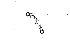 CC(CSSc1nc2ccccc2s1)OC(C)CSSc1nc2ccccc2s1